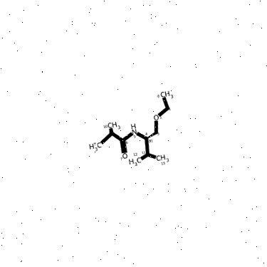 CCOC[C@H](NC(=O)C(C)C)C(C)C